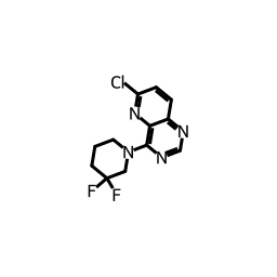 FC1(F)CCCN(c2ncnc3ccc(Cl)nc23)C1